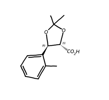 Cc1ccccc1[C@H]1OC(C)(C)O[C@@H]1C(=O)O